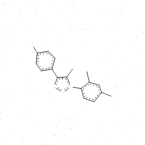 Cc1cc(Br)ccc1-n1nnc(-c2ccc(Br)cc2)c1C